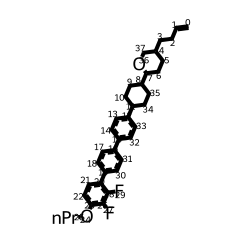 C=CCCC1CCC(C2CCC(c3ccc(-c4ccc(-c5ccc(OCCC)c(F)c5F)cc4)cc3)CC2)OC1